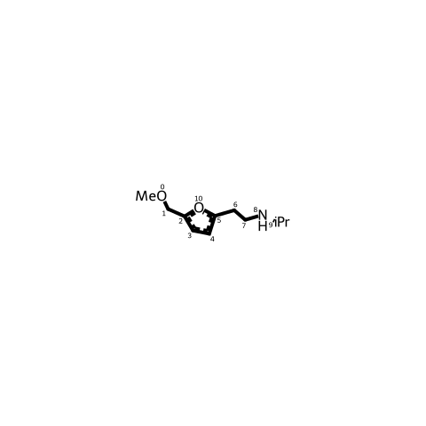 COCc1ccc(CCNC(C)C)o1